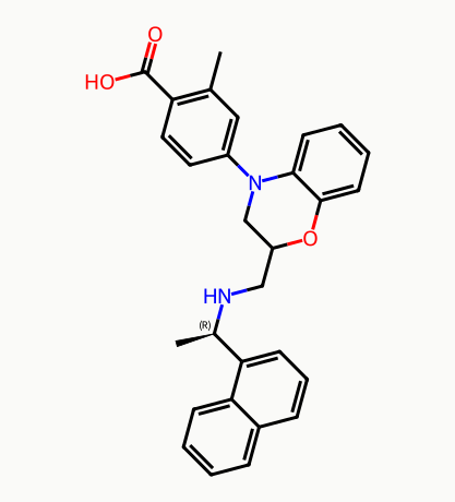 Cc1cc(N2CC(CN[C@H](C)c3cccc4ccccc34)Oc3ccccc32)ccc1C(=O)O